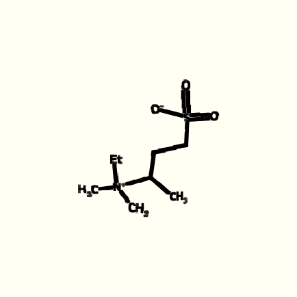 CC[N+](C)(C)C(C)CCS(=O)(=O)[O-]